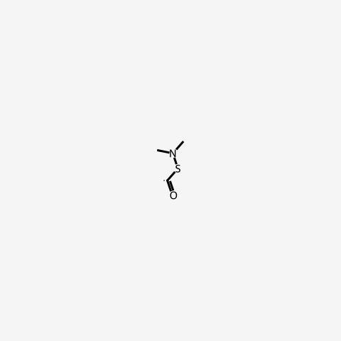 CN(C)S[C]=O